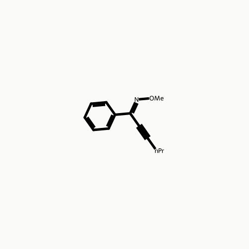 CCCC#CC(=NOC)c1ccccc1